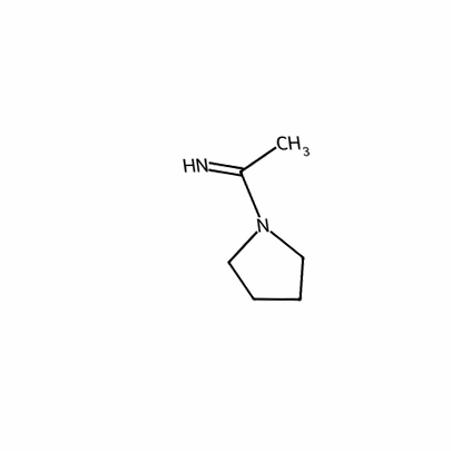 CC(=N)N1CCCC1